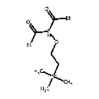 CCC(=O)[PH-](OCC[N+](C)(C)C)C(=O)CC